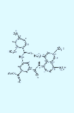 COC(=O)c1cc(NC(=O)c2ccc([N+](=O)[O-])cc2S(=O)(=O)O)cc(C(=O)Nc2ccc(S(=O)(=O)O)c3cc(S(=O)(=O)O)cc(S(=O)(=O)O)c23)c1